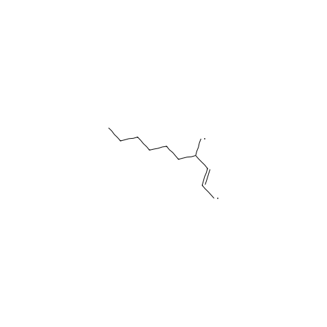 [CH2]C=CC([CH2])CCCCCC